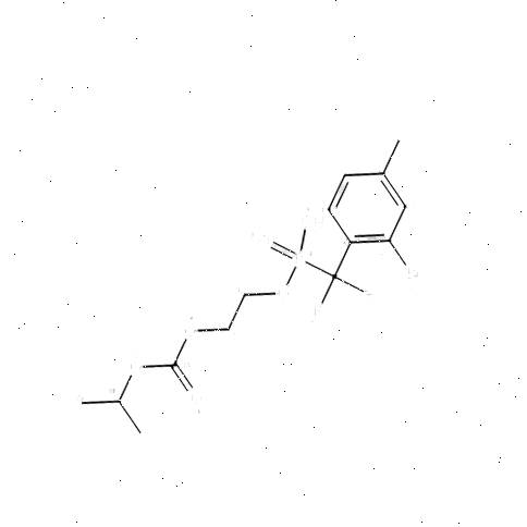 [CH2]c1ccc(C(F)(F)P(=O)(O)OCCOC(=O)OC(C)C)c(Br)c1